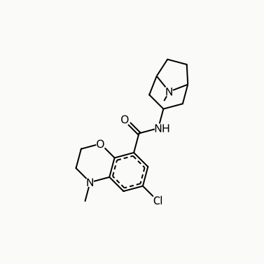 CN1CCOc2c(C(=O)NC3CC4CCC(C3)N4C)cc(Cl)cc21